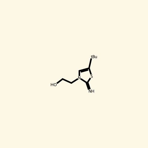 CC(C)(C)c1cn(CCO)c(=N)s1